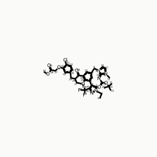 CCn1cc(-c2cc(Cn3ccn(C)/c3=N\C(=O)OC(C)(C)C)cc3c2OCC(Cc2ccc(Cl)c(OCC(=O)OC)c2)C3=O)c(C(F)(F)F)n1